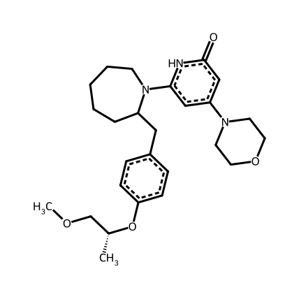 COC[C@@H](C)Oc1ccc(CC2CCCCCN2c2cc(N3CCOCC3)cc(=O)[nH]2)cc1